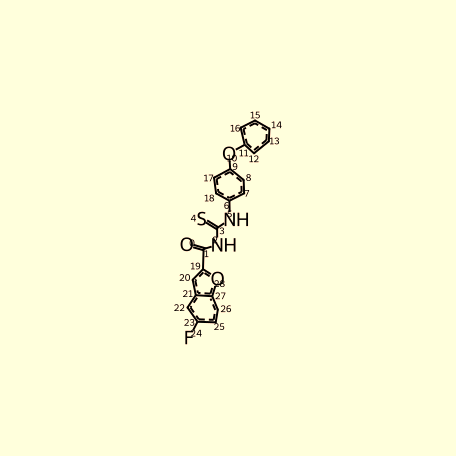 O=C(NC(=S)Nc1ccc(Oc2ccccc2)cc1)c1cc2cc(F)ccc2o1